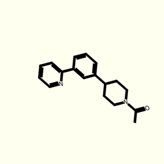 CC(=O)N1CCC(c2cccc(-c3ccccn3)c2)CC1